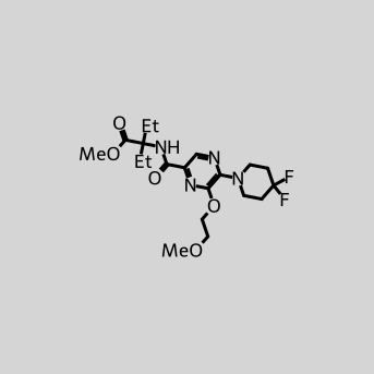 CCC(CC)(NC(=O)c1cnc(N2CCC(F)(F)CC2)c(OCCOC)n1)C(=O)OC